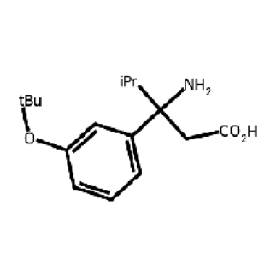 CC(C)C(N)(CC(=O)O)c1cccc(OC(C)(C)C)c1